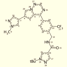 Cn1cc(-c2cc3c(-c4ccc(CNC(=O)c5cnn(C(C)(C)C)c5)c(C(F)(F)F)c4)ncnn3c2)cn1